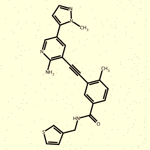 Cc1ccc(C(=O)NCc2ccsc2)cc1C#Cc1cc(-c2ccnn2C)cnc1N